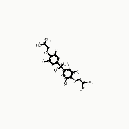 CC(O)COc1c(Cl)cc(C(C)(C)c2cc(Cl)c(OCC(C)O)c(Cl)c2)cc1Cl